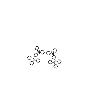 c1ccc(C(=C(c2ccccc2)c2ccc(N(c3ccccc3)c3ccc(-c4ccc(N(c5ccccc5)c5ccc(C(=C(c6ccccc6)c6ccccc6)c6ccccc6)cc5)cc4)cc3)cc2)c2ccccc2)cc1